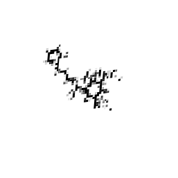 O=C(NCCCn1cccc1)c1cc([N+](=O)[O-])cc([N+](=O)[O-])c1O